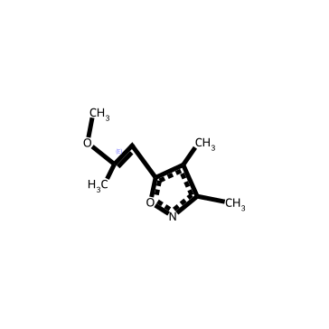 CO/C(C)=C/c1onc(C)c1C